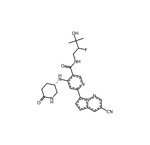 CC(C)(O)C(F)CNC(=O)c1cnc(-c2ccc3cc(C#N)cnn23)cc1N[C@H]1CCC(=O)NC1